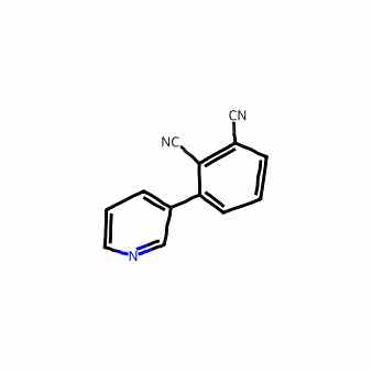 N#Cc1cccc(-c2cccnc2)c1C#N